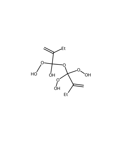 C=C(CC)C(O)(OO)OC(OO)(OO)C(=C)CC